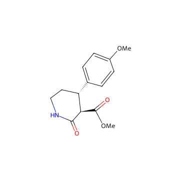 COC(=O)[C@H]1C(=O)NCC[C@@H]1c1ccc(OC)cc1